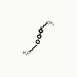 CCCCCCCC[C@H]1CC[C@H](C2C=CC(c3ccc(OCCCCC)cc3)=CC2)CC1